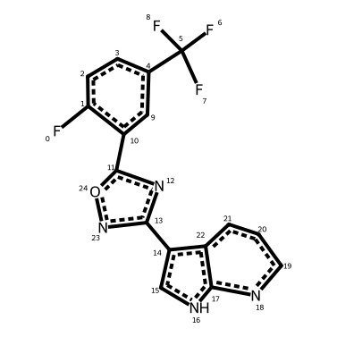 Fc1ccc(C(F)(F)F)cc1-c1nc(-c2c[nH]c3ncccc23)no1